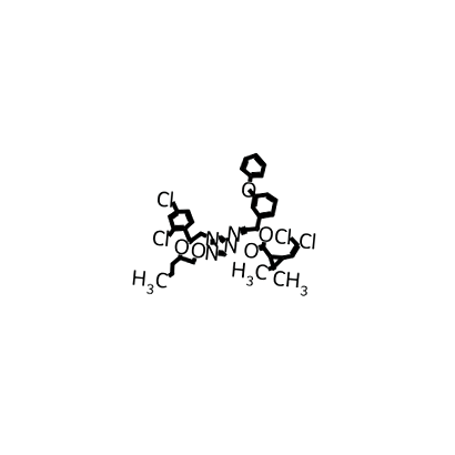 CC1(C)C(C=C(Cl)Cl)C1C(=O)OC(C#N)c1cccc(Oc2ccccc2)c1.CCCC1COC(Cn2cncn2)(c2ccc(Cl)cc2Cl)O1